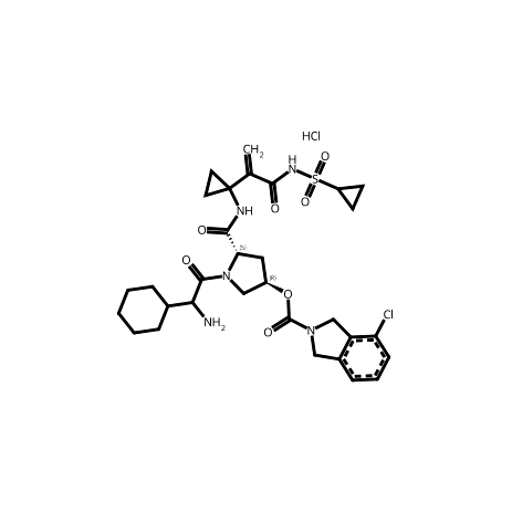 C=C(C(=O)NS(=O)(=O)C1CC1)C1(NC(=O)[C@@H]2C[C@@H](OC(=O)N3Cc4cccc(Cl)c4C3)CN2C(=O)C(N)C2CCCCC2)CC1.Cl